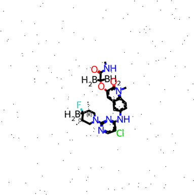 BC(B)(Oc1cc2cc(Nc3nc(N4C[C@@H](C)C(B)(F)[C@@H](C)C4)ncc3Cl)ccc2n(C)c1=O)C(=O)NC